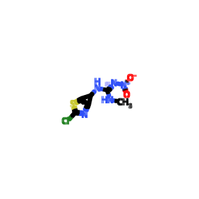 CN/C(=N\[N+](=O)[O-])NC1c2nc(Cl)sc21